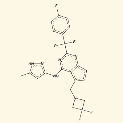 Cc1cc(Nc2nc(C(F)(F)c3ccc(F)cc3)nc3ccc(CN4CC(F)(F)C4)n23)n[nH]1